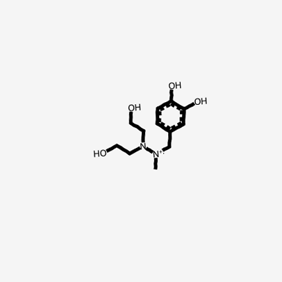 C[N+](Cc1ccc(O)c(O)c1)N(CCO)CCO